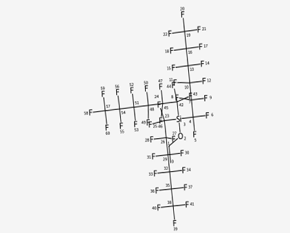 CCO[Si](C(F)(F)C(F)(F)C(F)(F)C(F)(F)C(F)(F)C(F)(F)F)(C(F)(F)C(F)(F)C(F)(F)C(F)(F)C(F)(F)C(F)(F)F)C(F)(F)C(F)(F)C(F)(F)C(F)(F)C(F)(F)C(F)(F)F